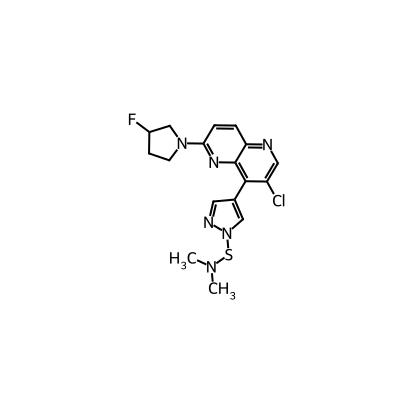 CN(C)Sn1cc(-c2c(Cl)cnc3ccc(N4CCC(F)C4)nc23)cn1